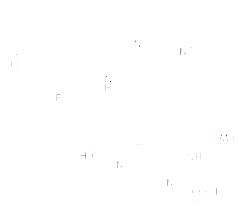 COc1cc2ncnc(Nc3cccc(Cl)c3F)c2cc1C1(C)CN(C)CCN1C(=O)O